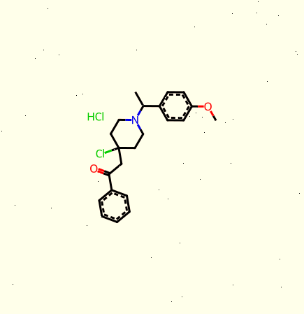 COc1ccc(C(C)N2CCC(Cl)(CC(=O)c3ccccc3)CC2)cc1.Cl